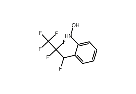 ONc1ccccc1C(F)C(F)(F)C(F)(F)F